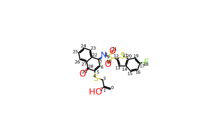 C=C(O)CSC1=C/C(=N\S(=O)(=O)c2cc3ccc(F)cc3s2)c2ccccc2C1=O